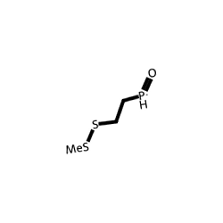 CSSCC[PH]=O